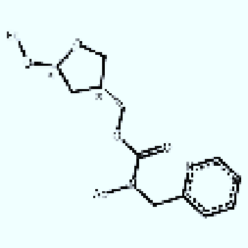 CCO[C@@H]1C[C@@H](COC(=O)N(Cc2ccccn2)C(C)=O)CO1